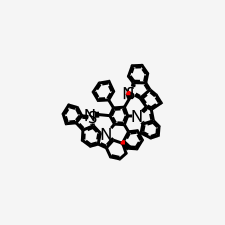 N#Cc1c(-c2ccccc2)c(C#N)c(-n2c3ccccc3c3ccc4c5ccccc5sc4c32)c(-c2c#cccc2)c1-n1c2c(c3ccc4c5ccccc5sc4c31)C=CCC2